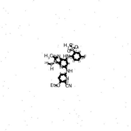 CCOc1ccc(Nc2cc(Nc3ccc(F)cc3S(C)(=O)=O)c3nc(C)n(PI)c3n2)nc1C#N